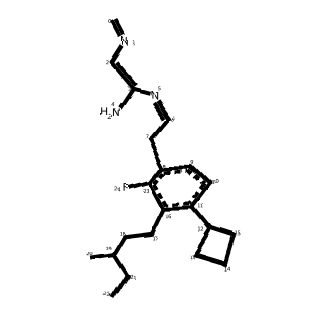 C=N/C=C(N)\N=C/Cc1ccc(C2CCC2)c(CCC(C)CC)c1F